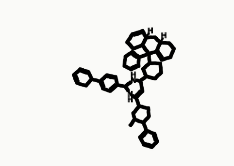 CC1CC(C2=CC(C3CCCC(C4(C5=CCCC=C5)C5=CCCC[C@@H]5C[C@@H]5C=CCCC54)C3)NC(c3ccc(C4C=CC=CC4)cc3)N2)CCC1c1ccccc1